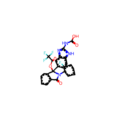 O=C(O)Nc1nc2cc(C3(OC(=O)C(F)(F)F)c4ccccc4C(=O)N3c3ccccc3F)ccc2[nH]1